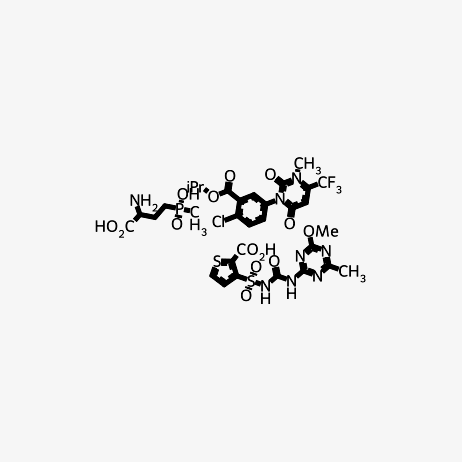 CC(C)OC(=O)c1cc(-n2c(=O)cc(C(F)(F)F)n(C)c2=O)ccc1Cl.COc1nc(C)nc(NC(=O)NS(=O)(=O)c2ccsc2C(=O)O)n1.CP(=O)(O)CCC(N)C(=O)O